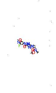 Cc1nc2c(F)cc(NC(=O)c3cnc(N4CCC(CN(C(=O)OC(C)(C)C)C5CC5)C4)cn3)cc2o1